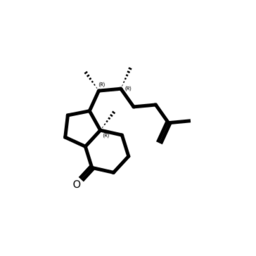 C=C(C)CC[C@@H](C)[C@@H](C)C1CCC2C(=O)CCC[C@@]21C